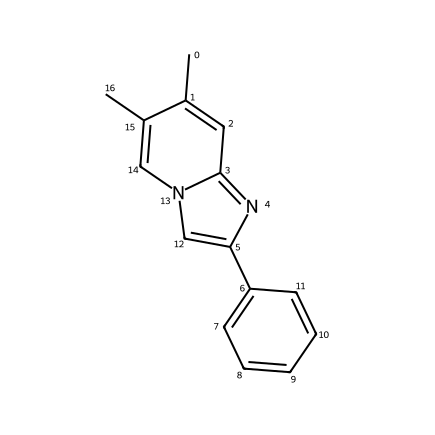 Cc1cc2nc(-c3ccccc3)cn2cc1C